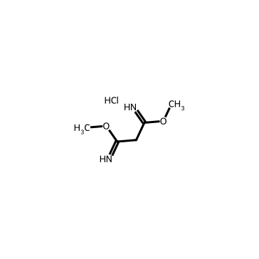 COC(=N)CC(=N)OC.Cl